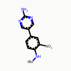 CC(C)(C)Nc1ccc(-c2cnc(N)nc2)cc1[N+](=O)[O-]